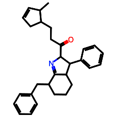 CC1C=CCC1CCC(=O)C1N=C2C(Cc3ccccc3)CCCC2C1c1ccccc1